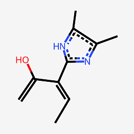 C=C(O)/C(=C\C)c1nc(C)c(C)[nH]1